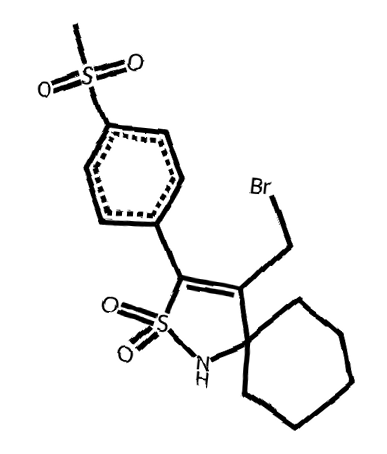 CS(=O)(=O)c1ccc(C2=C(CBr)C3(CCCCC3)NS2(=O)=O)cc1